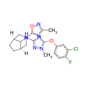 Cc1noc(N2C[C@H]3CC[C@@H](C2)C3Nc2nc(Oc3ccc(F)c(Cl)c3)n(C)n2)n1